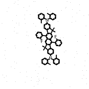 Cc1ccccc1N(c1ccc2c(c1)C(C)(C)c1cc3c(-c4ccccc4F)c4c(cc3c(-c3ccccc3F)c1-2)C(C)(C)c1cc(N(c2ccccc2C)c2ccccc2C)ccc1-4)c1ccccc1C